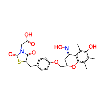 Cc1c(C)c2c(c(C)c1O)/C(=N/O)CC(C)(COc1ccc(CC3SC(=O)N(CC(=O)O)C3=O)cc1)O2